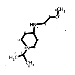 COCCNC1CCN(C(C)C)CC1